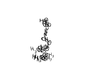 COc1cc(-c2cn(C)c(=O)c3cc(C(=O)NCC4CC5(CCN(C(=O)CCN6CCN(c7ccc8c(c7)C(=O)N(C7CCC(=O)NC7=O)C8=O)CC6)CC5)CO4)sc23)cc(OC)c1CN(C)C